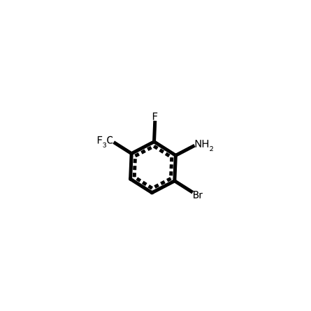 Nc1c(Br)ccc(C(F)(F)F)c1F